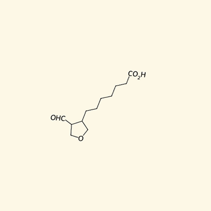 O=CC1COCC1CCCCCCC(=O)O